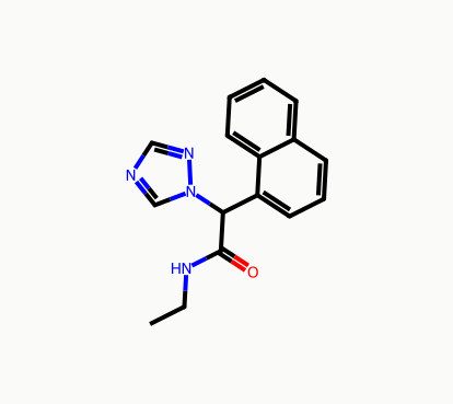 CCNC(=O)C(c1cccc2ccccc12)n1cncn1